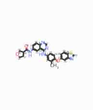 Cc1cc(Nc2ncnc3ccc(NC(=O)C4CCOC4)cc23)ccc1Oc1ccc2scnc2c1